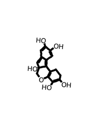 OC1=C(O)C2=C(CC1)C1=c3cc(O)c(O)cc3=CC1(O)CO2